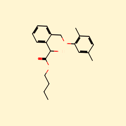 CCCCOC(=O)C(O)c1ccccc1COc1cc(C)ccc1C